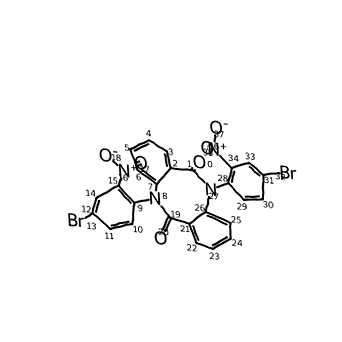 O=C1c2ccccc2N(c2ccc(Br)cc2[N+](=O)[O-])C(=O)c2ccccc2N1c1ccc(Br)cc1[N+](=O)[O-]